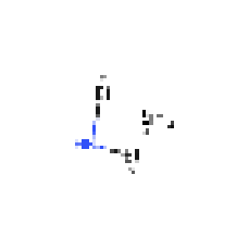 CCNCC.[SiH4]